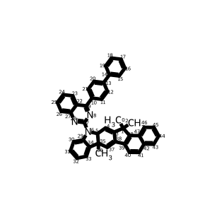 CC1(C)C2=CC3N(c4nc(-c5ccc(-c6ccccc6)cc5)c5ccccc5n4)c4ccccc4C3(C)C=C2c2ccc3ccccc3c21